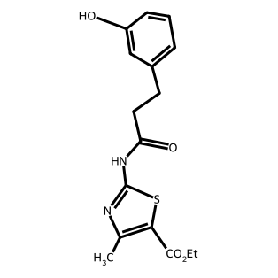 CCOC(=O)c1sc(NC(=O)CCc2cccc(O)c2)nc1C